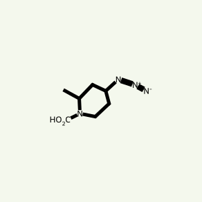 CC1CC(N=[N+]=[N-])CCN1C(=O)O